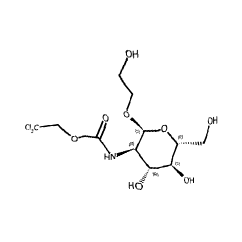 O=C(N[C@H]1[C@@H](OCCO)O[C@H](CO)[C@@H](O)[C@@H]1O)OCC(Cl)(Cl)Cl